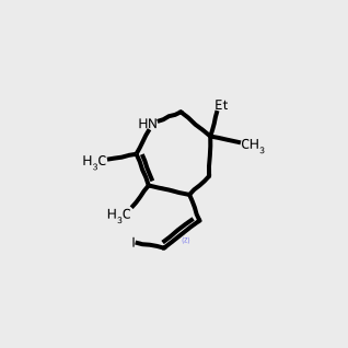 CCC1(C)CNC(C)=C(C)C(/C=C\I)C1